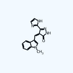 Cn1cc(C=C2C(=O)NN=C2c2ncc[nH]2)c2ccccc21